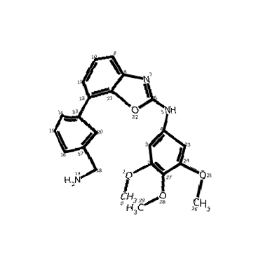 COc1cc(Nc2nc3cccc(-c4cccc(CN)c4)c3o2)cc(OC)c1OC